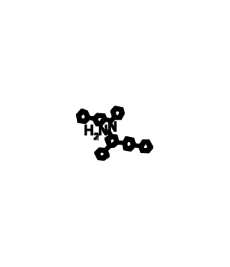 Nc1cc(-c2ccccc2)ccc1/C(=N\Cc1cc(-c2ccccc2)cc(-c2ccc(-c3ccccc3)cc2)c1)c1ccccc1